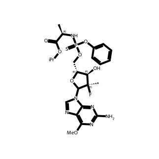 COc1nc(N)nc2c1ncn2C1O[C@H](COP(=S)(N[C@H](C)C(=O)OC(C)C)Oc2ccccc2)[C@@H](O)[C@@]1(C)F